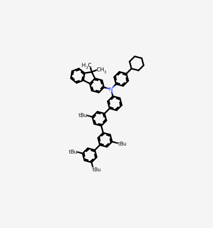 CC(C)(C)c1cc(-c2cccc(N(c3ccc(C4CCCCC4)cc3)c3ccc4c(c3)C(C)(C)c3ccccc3-4)c2)cc(-c2cc(-c3cc(C(C)(C)C)cc(C(C)(C)C)c3)cc(C(C)(C)C)c2)c1